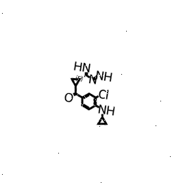 N=NC(=N)[C@H]1CC1C(=O)c1ccc(NC2CC2)c(Cl)c1